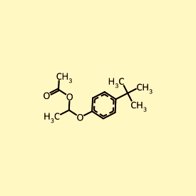 CC(=O)OC(C)Oc1ccc(C(C)(C)C)cc1